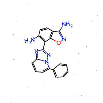 Nc1ccc2c(N)noc2c1-c1nc2cccc(-c3ccccc3)n2n1